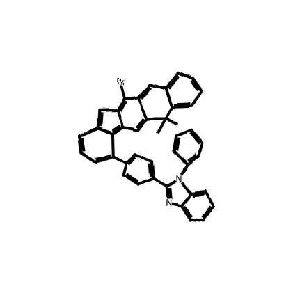 CC1(C)c2ccccc2C=c2c1cc1c(c2Br)C=c2cccc(-c3ccc(-c4nc5ccccc5n4-c4ccccc4)cc3)c2=1